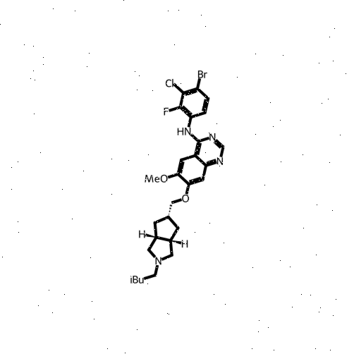 CCC(C)CN1C[C@H]2C[C@@H](COc3cc4ncnc(Nc5ccc(Br)c(Cl)c5F)c4cc3OC)C[C@H]2C1